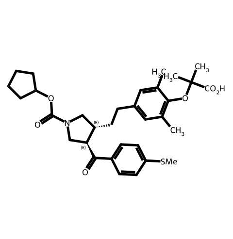 CSc1ccc(C(=O)[C@H]2CN(C(=O)OC3CCCC3)C[C@@H]2CCc2cc(C)c(OC(C)(C)C(=O)O)c(C)c2)cc1